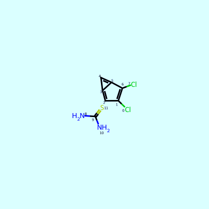 Clc1cc2cc-2c1Cl.NC(N)=S